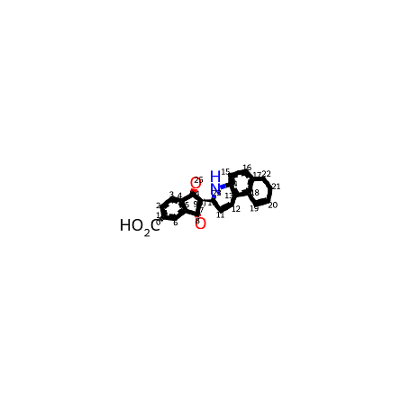 O=C(O)c1ccc2c(c1)C(=O)[C@H](C1C=Cc3c(ccc4c3C=CCC4)N1)C2=O